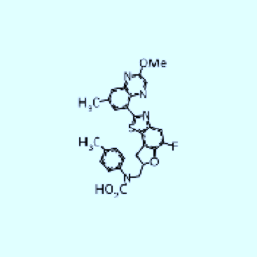 COc1cnc2c(-c3nc4cc(F)c5c(c4s3)CC(CN(C(=O)O)c3ccc(C)cc3)O5)cc(C)cc2n1